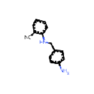 N#Cc1ccccc1NCc1ccc(N)cc1